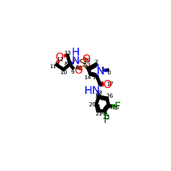 Cn1cc(S(=O)(=O)NC2(C)CCOC2)cc1C(=O)Nc1ccc(F)c(F)c1